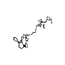 CCC(=O)NCCCCNC(=O)ON1C(=O)CCC1=O